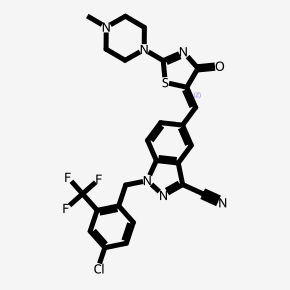 CN1CCN(C2=NC(=O)/C(=C/c3ccc4c(c3)c(C#N)nn4Cc3ccc(Cl)cc3C(F)(F)F)S2)CC1